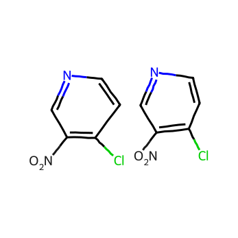 O=[N+]([O-])c1cnccc1Cl.O=[N+]([O-])c1cnccc1Cl